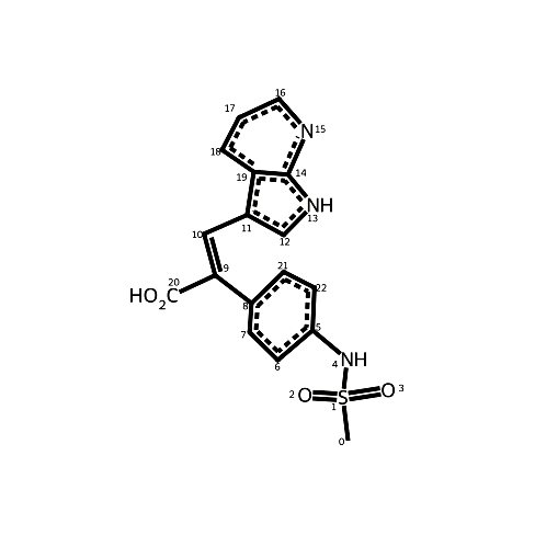 CS(=O)(=O)Nc1ccc(C(=Cc2c[nH]c3ncccc23)C(=O)O)cc1